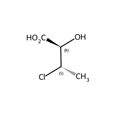 C[C@H](Cl)[C@H](O)C(=O)O